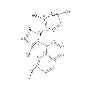 COc1ccc2cccc(-c3c(S)nnn3-c3ccc(O)cc3O)c2c1